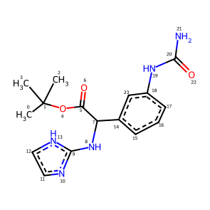 CC(C)(C)OC(=O)C(Nc1ncc[nH]1)c1cccc(NC(N)=O)c1